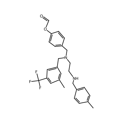 Cc1ccc(CNCCN(Cc2ccc(OC=O)cc2)Cc2cc(C)cc(C(F)(F)F)c2)cc1